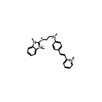 CN(CCSc1n(C)c2ccccc2[n+]1C)c1ccc(/C=C/c2cccc[n+]2C)cc1